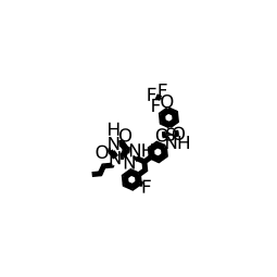 CCCCn1c(=O)[nH]c(=O)c2[nH]c(C(Cc3ccccc3F)c3ccc(NS(=O)(=O)c4ccc(OC(F)(F)F)cc4)cc3)nc21